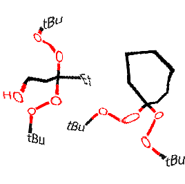 CC(C)(C)OOC1(OOC(C)(C)C)CCCCC1.CCC(CO)(OOC(C)(C)C)OOC(C)(C)C